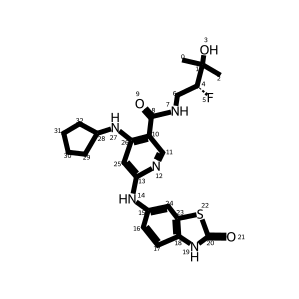 CC(C)(O)[C@H](F)CNC(=O)c1cnc(Nc2ccc3[nH]c(=O)sc3c2)cc1NC1CCCC1